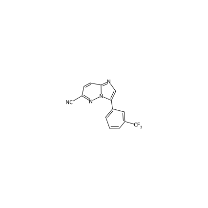 N#Cc1ccc2ncc(-c3cccc(C(F)(F)F)c3)n2n1